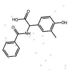 Cc1cc(C(NC(=O)c2ccccc2)C(=O)O)ccc1O